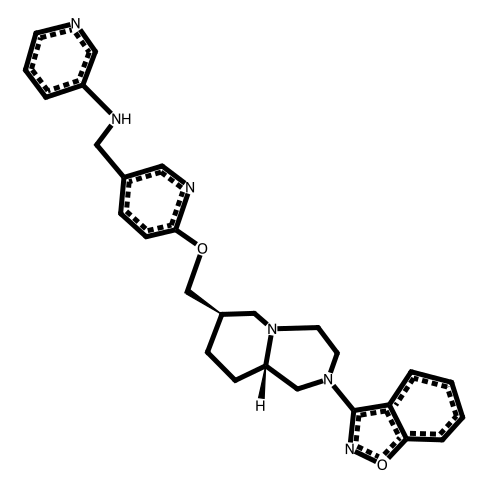 c1cncc(NCc2ccc(OC[C@@H]3CC[C@H]4CN(c5noc6ccccc56)CCN4C3)nc2)c1